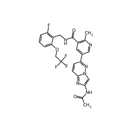 CC(=O)Nc1cn2nc(-c3cnc(C)c(C(=O)NCc4c(F)cccc4OCC(F)(F)F)c3)ccc2n1